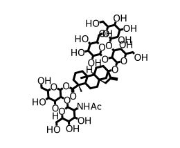 C=C1C[C@@]23CCC4C(C)(CCC[C@@]4(C)C(=O)OC4OC(CO)C(O)C(O)C4OC4OC(CO)C(O)C(O)C4NC(C)=O)[C@@H]2CCC1(OC1OC(CO)C(O)C(OC2OC(CO)C(O)C(O)C2O)C1OC1OC(CO)C(O)C(O)C1O)C3